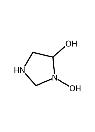 OC1CNCN1O